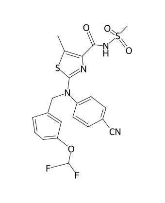 Cc1sc(N(Cc2cccc(OC(F)F)c2)c2ccc(C#N)cc2)nc1C(=O)NS(C)(=O)=O